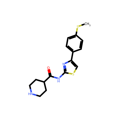 CSc1ccc(-c2csc(NC(=O)C3CCNCC3)n2)cc1